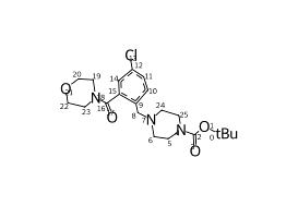 CC(C)(C)OC(=O)N1CCN(Cc2ccc(Cl)cc2C(=O)N2CCOCC2)CC1